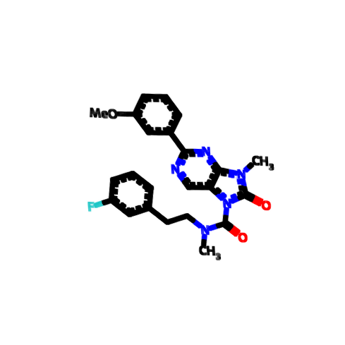 COc1cccc(-c2ncc3c(n2)n(C)c(=O)n3C(=O)N(C)CCc2cccc(F)c2)c1